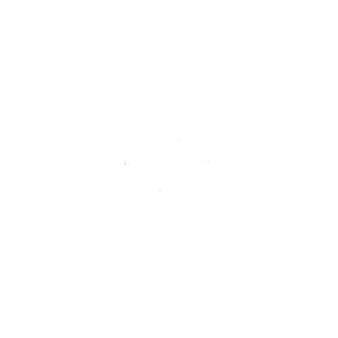 CCC(C)C1=C(C(C)CC)C(C(C)CC)=C(C(C)CC)C1